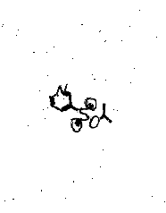 CC(C)OS(=O)(=O)c1cccnc1